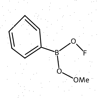 COOB(OF)c1ccccc1